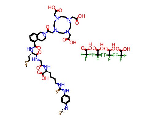 CSCC[C@H](NC(=O)c1cccc2c1CCN(C(=O)CN1CCN(CC(=O)O)CCN(CC(=O)O)CCN(CC(=O)O)CC1)C2)C(=O)NCC(=O)N[C@@H](CCCCNC(=S)Nc1ccc(N=C=S)cc1)C(=O)O.O=C(O)C(F)(F)F.O=C(O)C(F)(F)F.O=C(O)C(F)(F)F.O=C(O)C(F)(F)F